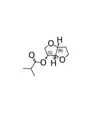 CC(C)C(=O)O[C@H]1CO[C@@H]2CCO[C@H]12